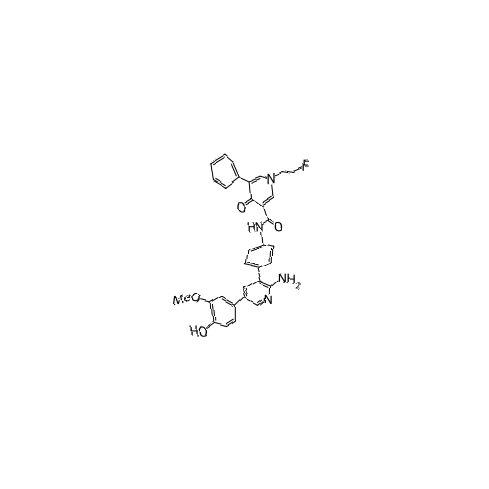 COc1cc(-c2cnc(N)c(-c3ccc(NC(=O)c4cn(CCF)cc(-c5ccccc5)c4=O)cc3)c2)ccc1O